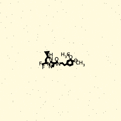 COc1ccc(CCNC(=O)c2cnn3c2NC(=C2CC2)C=C3C(F)F)cc1OC